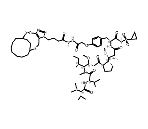 CC[C@H](C)[C@@H]([C@@H](CC(=O)N1CCC[C@H]1[C@H](OC)[C@@H](C)C(=O)N[C@@H](Cc1ccc(OCC(=O)NNC(=O)CCCn2nnc3c2CSC2CCCCCCCC(CC2)SC3)cc1)C(=O)NS(=O)(=O)C1CC1)OC)N(C)C(=O)[C@@H](NC(=O)[C@H](C(C)C)N(C)C)C(C)C